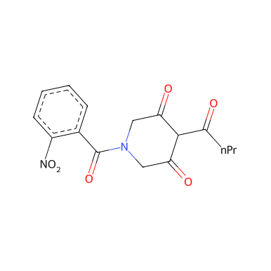 CCCC(=O)C1C(=O)CN(C(=O)c2ccccc2[N+](=O)[O-])CC1=O